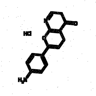 Cl.Nc1ccc(C2=CCC3=C(N=CCC3=O)O2)cc1